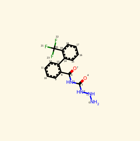 NNNC(=O)NC(=O)c1ccccc1-c1ccccc1C(F)(F)F